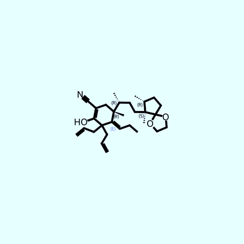 C=CCC1(CC=C)C(O)=C(C#N)C[C@](C)([C@H](C)CC[C@@]2(C)[C@H](C)CCC23OCCO3)/C1=C\CC